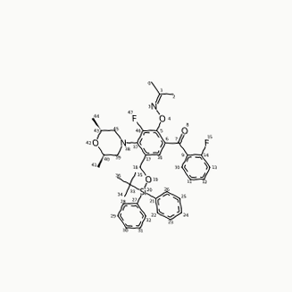 CC(C)=NOc1c(C(=O)c2ccccc2F)cc(CO[Si](c2ccccc2)(c2ccccc2)C(C)(C)C)c(N2C[C@@H](C)O[C@@H](C)C2)c1F